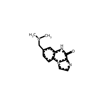 CN(C)Cc1ccc2c(c1)[nH]c(=O)c1nccn12